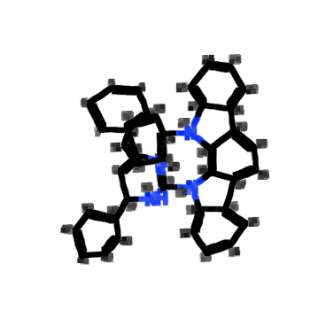 C1=C(c2ccccc2)N=C(n2c3ccccc3c3ccc4c5ccccc5n(-c5ccccc5)c4c32)NC1c1ccccc1